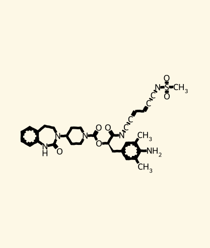 Cc1cc(C[C@@H](OC(=O)N2CCC(N3CCc4ccccc4NC3=O)CC2)C(=O)N=C=C=CC=C=C=NS(C)(=O)=O)cc(C)c1N